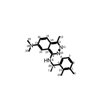 Cc1cccc([C@@H](C)Nc2nnc(C)c3ccc(N(C)C)cc23)c1C